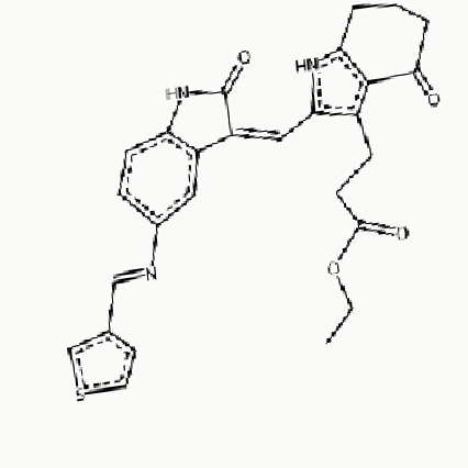 CCOC(=O)CCc1c(/C=C2\C(=O)Nc3ccc(/N=C/c4ccsc4)cc32)[nH]c2c1C(=O)CCC2